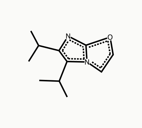 CC(C)c1nc2occn2c1C(C)C